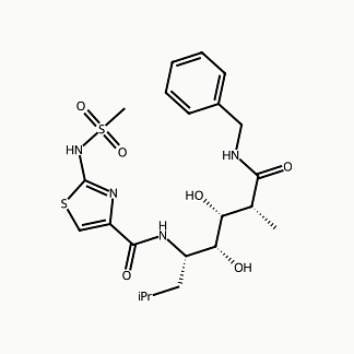 CC(C)C[C@H](NC(=O)c1csc(NS(C)(=O)=O)n1)[C@@H](O)[C@H](O)[C@@H](C)C(=O)NCc1ccccc1